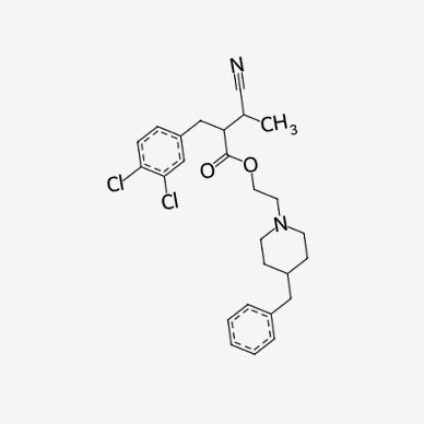 CC(C#N)C(Cc1ccc(Cl)c(Cl)c1)C(=O)OCCN1CCC(Cc2ccccc2)CC1